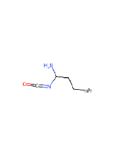 [CH2]CCCCC(N)N=C=O